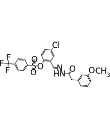 COc1cccc(CC(=O)N/N=C/c2cc(Cl)ccc2OS(=O)(=O)c2ccc(C(F)(F)F)cc2)c1